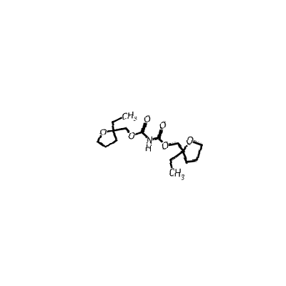 CCC1(COC(=O)NC(=O)OCC2(CC)CCCO2)CCCO1